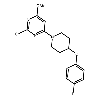 COc1cc(N2CCC(Oc3ccc(F)cc3)CC2)nc(Cl)n1